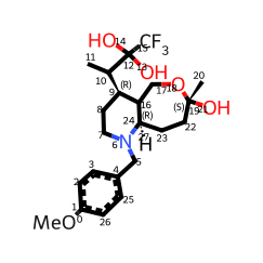 COc1ccc(CN2CC[C@@H](C(C)C(O)(O)C(F)(F)F)C3CO[C@](C)(O)CC[C@H]32)cc1